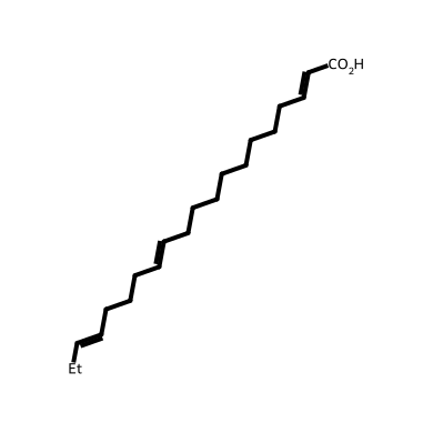 CCC=CCCCC=CCCCCCCCCC=CC(=O)O